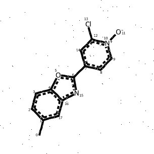 Cc1ccc2oc(-c3cc[n+]([O-])c(Cl)c3)nc2c1